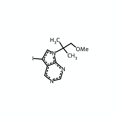 COCC(C)(C)n1cc(I)c2cncnc21